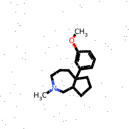 COc1cccc(C23CCCC2CN(C)CCC3)c1